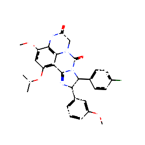 COc1cccc(C2N=C3c4c(OC(C)C)cc(OC)c5c4N(CC(=O)N5)C(=O)N3C2c2ccc(Cl)cc2)c1